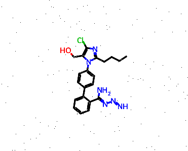 CCCCc1nc(Cl)c(CO)n1-c1ccc(-c2ccccc2/C(N)=N/N=N)cc1